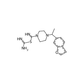 CC(c1ccc2ccoc2c1)N1CCN(C(=N)SC(=N)N)CC1